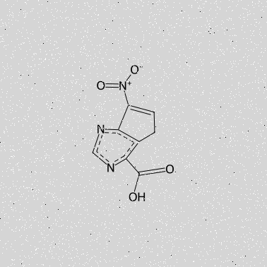 O=C(O)c1ncnc2c1CC=C2[N+](=O)[O-]